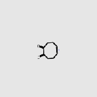 O=C1CC/C=C\CCC1=O